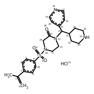 C=C(C)c1ccc(S(=O)(=O)N2CCN(C(c3ccncc3)C3CCNCC3)C(=O)C2)cc1.Cl